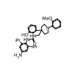 COc1ccccc1N1CCC(CNC(=O)Nc2c(C(C)C)cc(N)cc2C(C)C)(c2cccc(O)c2)CC1